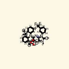 CN1C(=O)/C(=N\C(N(c2ccccc2S(C)(=O)=O)c2ccccc2S(C)(=O)=O)C(Cl)(Cl)Cl)N(c2cccc(C(F)(F)F)c2)C1=O